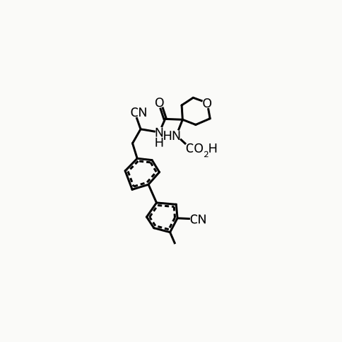 Cc1ccc(-c2ccc(CC(C#N)NC(=O)C3(NC(=O)O)CCOCC3)cc2)cc1C#N